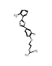 Cc1ccccc1-c1nc(-c2ccc(OCCOC(C)C)c(Cl)c2)no1